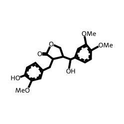 COc1cc(CC2C(=O)OCC2C(O)c2ccc(OC)c(OC)c2)ccc1O